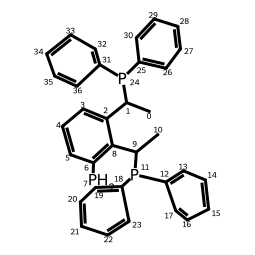 CC(c1cccc(P)c1C(C)P(c1ccccc1)c1ccccc1)P(c1ccccc1)c1ccccc1